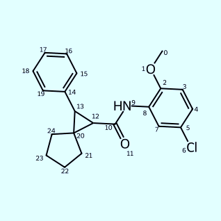 COc1ccc(Cl)cc1NC(=O)C1C(c2ccccc2)C12CCCC2